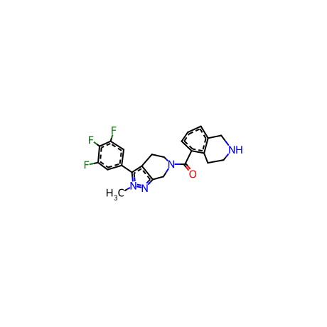 Cn1nc2c(c1-c1cc(F)c(F)c(F)c1)CCN(C(=O)c1cccc3c1CCNC3)C2